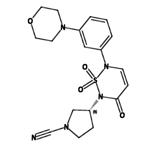 N#CN1CC[C@@H](N2C(=O)C=CN(c3cccc(N4CCOCC4)c3)S2(=O)=O)C1